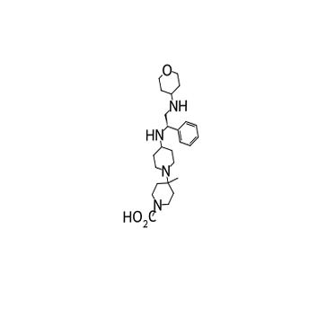 CC1(N2CCC(N[C@@H](CNC3CCOCC3)c3ccccc3)CC2)CCN(C(=O)O)CC1